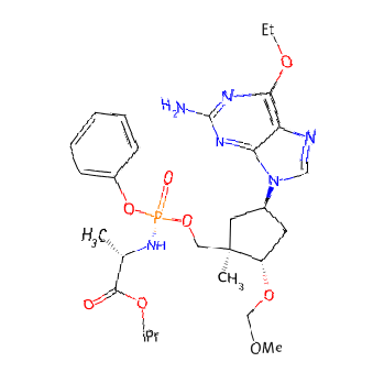 CCOc1nc(N)nc2c1ncn2[C@H]1C[C@H](OCOC)[C@@](C)(CO[P@@](=O)(N[C@@H](C)C(=O)OC(C)C)Oc2ccccc2)C1